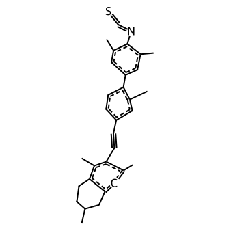 Cc1cc(C#Cc2c(C)cc3c(c2C)CCC(C)C3)ccc1-c1cc(C)c(N=C=S)c(C)c1